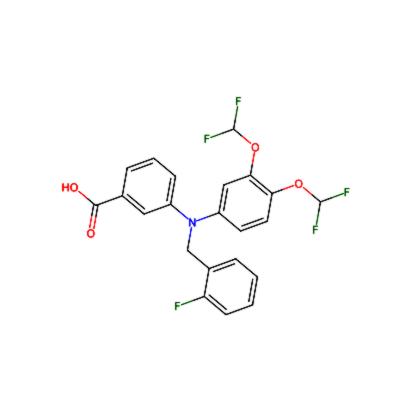 O=C(O)c1cccc(N(Cc2ccccc2F)c2ccc(OC(F)F)c(OC(F)F)c2)c1